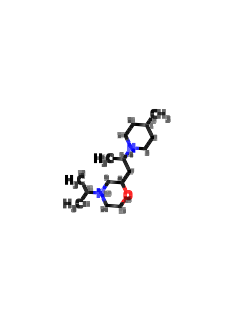 CC1CCN(C(C)CC2CN(C(C)C)CCO2)CC1